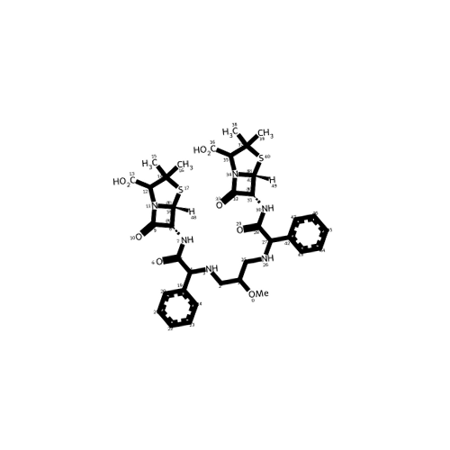 COC(CNC(C(=O)N[C@@H]1C(=O)N2C(C(=O)O)C(C)(C)S[C@H]12)c1ccccc1)CNC(C(=O)N[C@@H]1C(=O)N2C(C(=O)O)C(C)(C)S[C@H]12)c1ccccc1